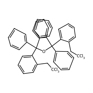 ClC(Cl)(Cl)Cc1ccccc1C(OC(c1ccccc1)(c1ccccc1)c1ccccc1CC(Cl)(Cl)Cl)(c1ccccc1)c1ccccc1